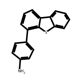 Nc1ccc(-c2cccc3c2sc2ccccc23)cc1